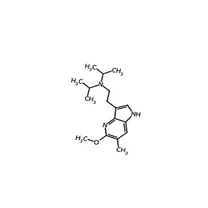 COc1nc2c(CCN(C(C)C)C(C)C)c[nH]c2cc1C